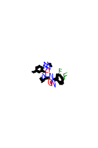 Cc1ccc(-n2nccn2)c(C(=O)N2CCC2c2nc(-c3ccc(F)c(F)c3)no2)c1